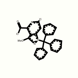 COc1nn(C(c2ccccc2)(c2ccccc2)c2ccccc2)c2cc(Cl)nc(C(=O)Cl)c12